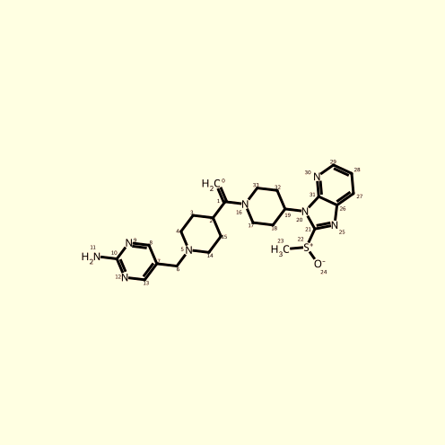 C=C(C1CCN(Cc2cnc(N)nc2)CC1)N1CCC(n2c([S+](C)[O-])nc3cccnc32)CC1